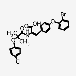 CC(C)(Oc1ccc(Cl)cc1)C(=O)NC(=Cc1ccc(Oc2ccccc2Br)cc1)C(=O)O